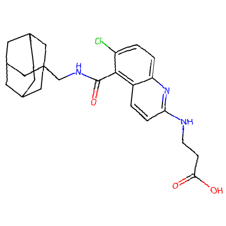 O=C(O)CCNc1ccc2c(C(=O)NCC34CC5CC(CC(C5)C3)C4)c(Cl)ccc2n1